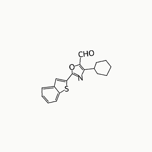 O=Cc1oc(-c2cc3ccccc3s2)nc1C1CCCCC1